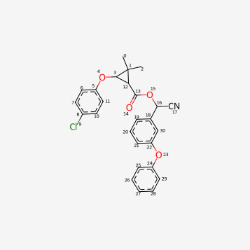 CC1(C)C(Oc2ccc(Cl)cc2)C1C(=O)OC(C#N)c1cccc(Oc2ccccc2)c1